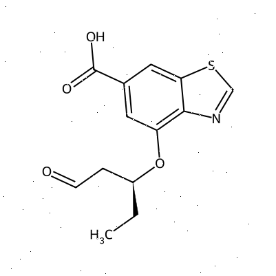 CC[C@@H](CC=O)Oc1cc(C(=O)O)cc2scnc12